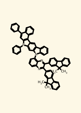 CC1(C)c2ccccc2-c2ccc(-c3nc4cccc(-n5c6ccccc6c6cc7c8c9ccccc9c(-c9ccccc9)cc8n(-c8ccccc8)c7cc65)c4nc3-c3ccc4c(c3)C(C)(C)c3ccccc3-4)cc21